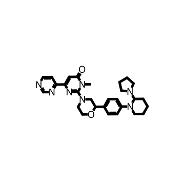 Cn1c(N2CCOC(c3ccc(N4CCCCC4N4CCCC4)cc3)C2)nc(-c2ccncn2)cc1=O